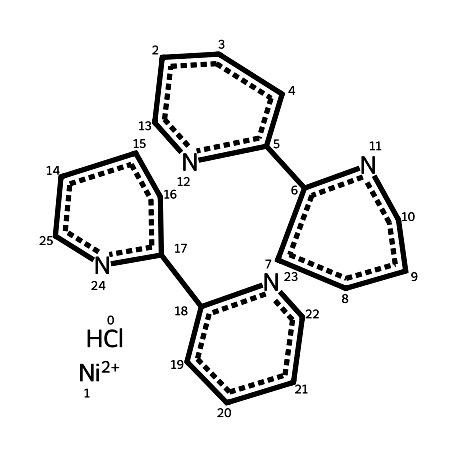 Cl.[Ni+2].c1ccc(-c2ccccn2)nc1.c1ccc(-c2ccccn2)nc1